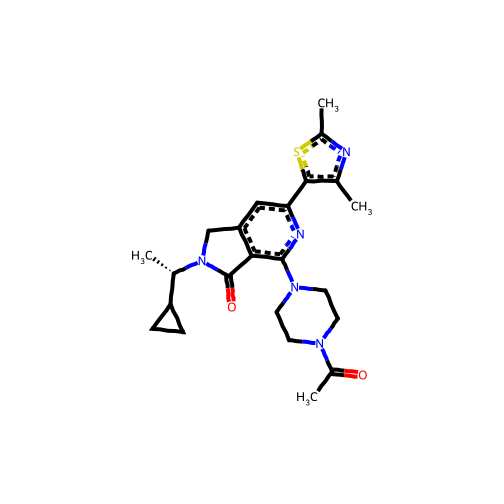 CC(=O)N1CCN(c2nc(-c3sc(C)nc3C)cc3c2C(=O)N([C@@H](C)C2CC2)C3)CC1